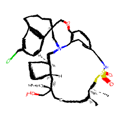 CO[C@]1(CO)CCC[C@H](C)[C@@H](C)S(=O)(=O)NCc2ccc3c(c2)N(C[C@@H]2CC[C@H]21)C[C@@]1(CCCc2cc(Cl)ccc21)CO3